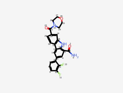 NC(=O)c1cc(-c2cccc(F)c2F)cc2c1[nH]c1cc(C(=O)N3CCOCC3)ccc12